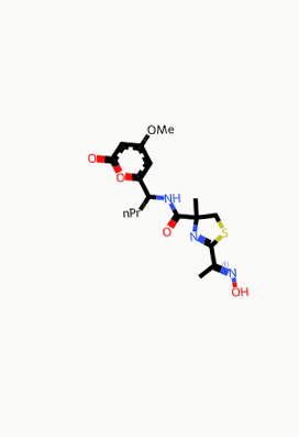 CCCC(NC(=O)C1(C)CSC(/C(C)=N/O)=N1)c1cc(OC)cc(=O)o1